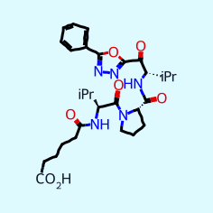 CC(C)[C@H](NC(=O)[C@@H]1CCCN1C(=O)[C@@H](NC(=O)CCCCC(=O)O)C(C)C)C(=O)c1nnc(-c2ccccc2)o1